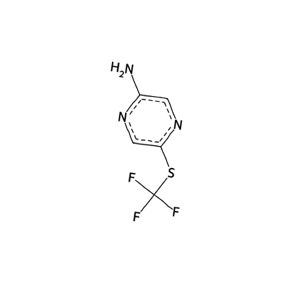 Nc1cnc(SC(F)(F)F)cn1